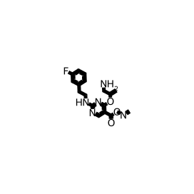 C=NOC(=O)c1cnc(NCCc2cccc(F)c2)nc1OC(=C)CN